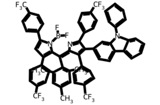 Cc1cc(C)c(/C(=C2/N=C(c3ccc(C(F)(F)F)cc3)C(c3ccc4c5ccccc5n(-c5ccccc5)c4c3)=C2c2ccc(C(F)(F)F)cc2)c2c(-c3ccc(C(F)(F)F)cc3)cc(-c3ccc(C(F)(F)F)cc3)n2B(F)F)c(C)c1